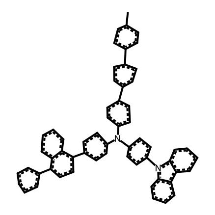 Cc1ccc(-c2ccc(-c3ccc(N(c4ccc(-c5ccc(-c6ccccc6)c6ccccc56)cc4)c4ccc(-n5c6ccccc6c6ccccc65)cc4)cc3)cc2)cc1